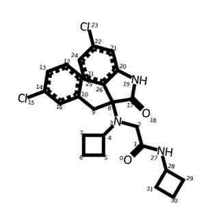 O=C(CN(C1CCC1)C1(Cc2cccc(Cl)c2)C(=O)Nc2cc(Cl)ccc21)NC1CCC1